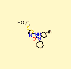 CC(C)[C@H]1CC[C@H](N(C(=O)Nc2ncc(SCC(=O)O)s2)C2CCCCCC2)CC1